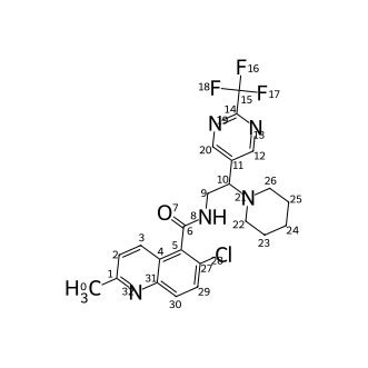 Cc1ccc2c(C(=O)NCC(c3cnc(C(F)(F)F)nc3)N3CCCCC3)c(Cl)ccc2n1